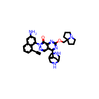 C#Cc1cccc2cc(N)cc(-n3ncc4c(C5=C6CNCC(C5)NC6)nc(OCC56CCCN5CCC6)nc4c3=O)c12